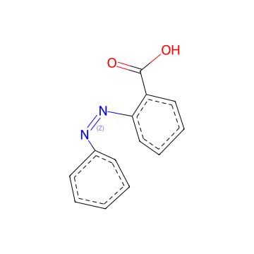 O=C(O)c1ccccc1/N=N\c1ccccc1